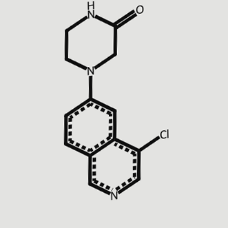 O=C1CN(c2ccc3cncc(Cl)c3c2)CCN1